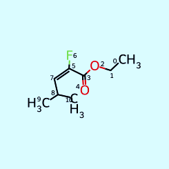 CCOC(=O)/C(F)=C\C(C)C